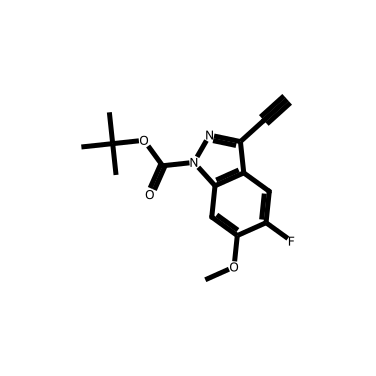 C#Cc1nn(C(=O)OC(C)(C)C)c2cc(OC)c(F)cc12